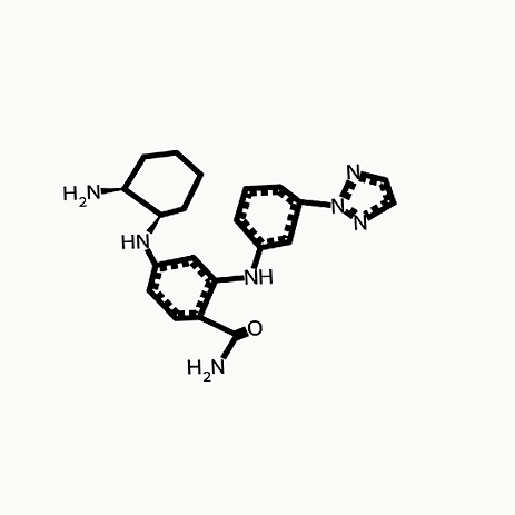 NC(=O)c1ccc(N[C@@H]2CCCC[C@@H]2N)cc1Nc1cccc(-n2nccn2)c1